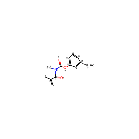 C=C(C)C(=O)N(CC)C(=O)Oc1cccc(NC(C)=O)c1